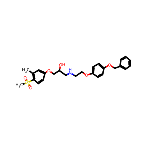 Cc1cc(OCC(O)CNCCOc2ccc(OCc3ccccc3)cc2)ccc1S(C)(=O)=O